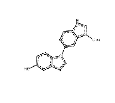 N#Cc1ccc2c(c1)ncn2-c1ccc2[nH]cc(C=O)c2c1